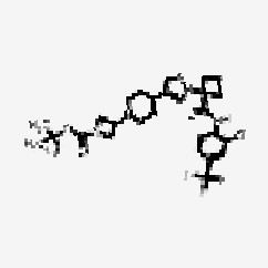 CC(C)(C)OC(=O)N1CC(N2CCC(c3cnn(C4(C(=O)Nc5ccc(C(F)(F)F)cc5Cl)CCC4)c3)CC2)C1